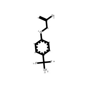 C=C(CC)COc1ccc(C(F)(F)C(F)(F)F)cc1